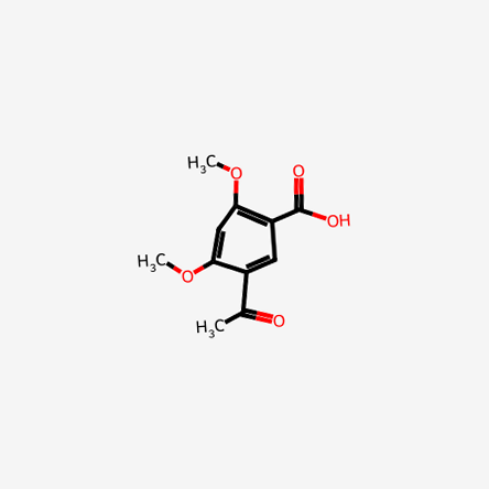 COc1cc(OC)c(C(=O)O)cc1C(C)=O